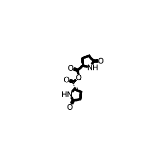 O=C1CCC(C(=O)OC(=O)[C@@H]2CCC(=O)N2)N1